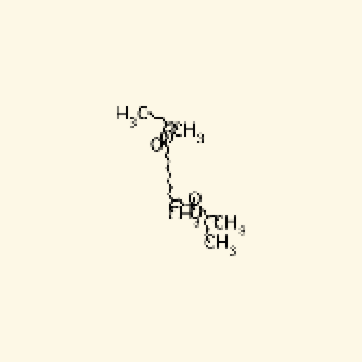 CCCCC(CC)COC(=O)CCCCCCCCC(CC)CCC(=O)OCC(CC)CCCC